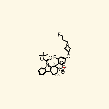 C[C@@H]1Cc2c(n(C(=O)OC(C)(C)C)c3ccccc23)[C@@](C)(c2c(F)cc(OC3CN(CCCF)C3)cc2F)N1S(C)(=O)=O